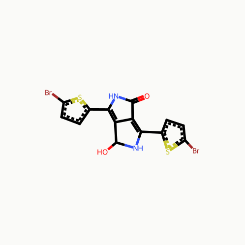 O=C1NC(c2ccc(Br)s2)=C2C1=C(c1ccc(Br)s1)NC2O